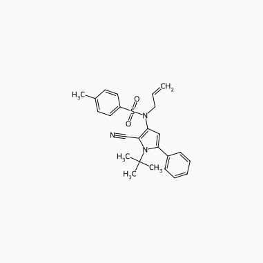 C=CCN(c1cc(-c2ccccc2)n(C(C)(C)C)c1C#N)S(=O)(=O)c1ccc(C)cc1